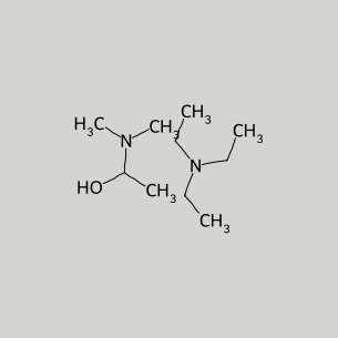 CC(O)N(C)C.CCN(CC)CC